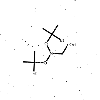 CCCCCCCCCN(OC(C)(C)CC)OC(C)(C)CC